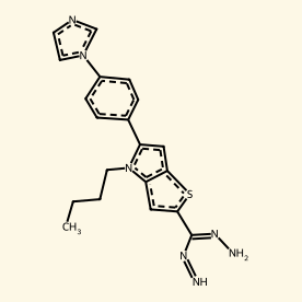 CCCCn1c(-c2ccc(-n3ccnc3)cc2)cc2sc(/C(N=N)=N/N)cc21